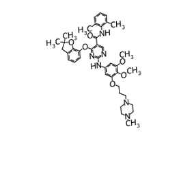 COc1cc(Nc2ncc(C(=O)Nc3c(C)cccc3C)c(Oc3cccc4c3OC(C)(C)C4)n2)cc(OCCCN2CCN(C)CC2)c1OC